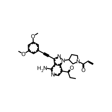 C=CC(=O)N1CCC(n2nc(C#Cc3cc(OC)cc(OC)c3)c3c(N)ncc(C(=O)CC)c32)C1